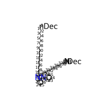 CCCCCCCCCCCCCCCCCCCCCCCCCCCC=CC(=Nc1ccccc1)C(CCCCCCCCCCCCCCCCCCCC)=Nc1ccccc1.[Ni]